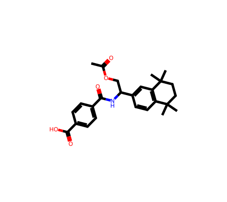 CC(=O)OCC(NC(=O)c1ccc(C(=O)O)cc1)c1ccc2c(c1)C(C)(C)CCC2(C)C